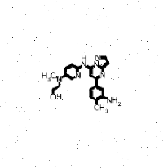 Cc1ccc(-c2cc(Nc3ccc(N(C)CCO)cn3)n3nccc3n2)cc1N